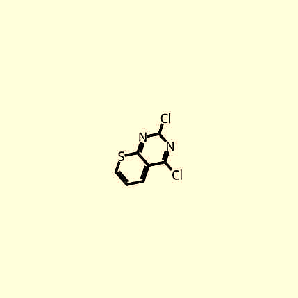 ClC1=NC(Cl)N=C2SC=CC=C12